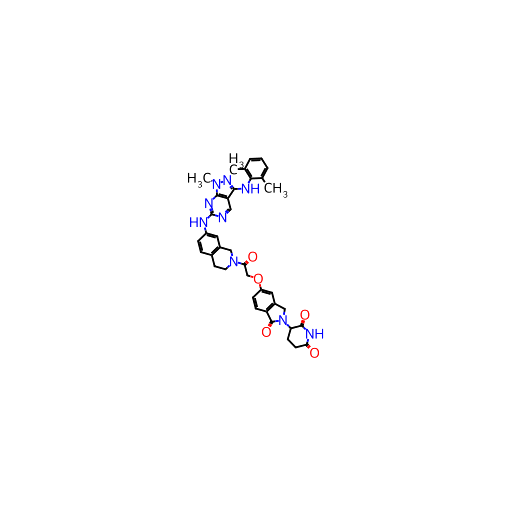 Cc1cccc(C)c1Nc1nn(C)c2nc(Nc3ccc4c(c3)CN(C(=O)COc3ccc5c(c3)CN(C3CCC(=O)NC3=O)C5=O)CC4)ncc12